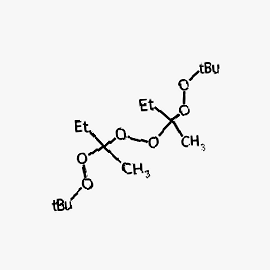 CCC(C)(OOC(C)(C)C)OOC(C)(CC)OOC(C)(C)C